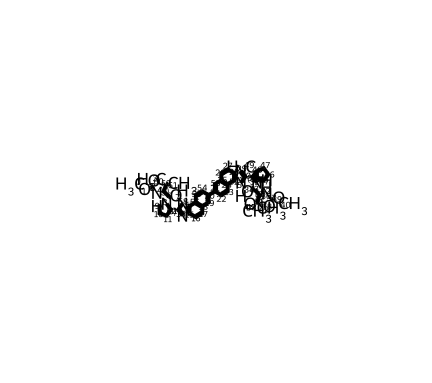 COC(=O)N[C@H](C(=O)N1CCC[C@H]1c1nc2ccc3cc(-c4ccc5c(ccc6nc([C@H]7N(C(=O)[C@@H](NC(=O)OC)[C@@H](C)OC)[C@@H]8CCC7(C)C8)[nH]c65)c4)ccc3c2[nH]1)C(C)C